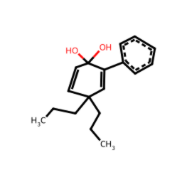 CCCC1(CCC)C=CC(O)(O)C(c2ccccc2)=C1